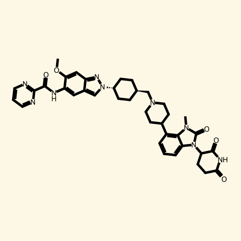 COc1cc2nn([C@H]3CC[C@H](CN4CCC(c5cccc6c5n(C)c(=O)n6C5CCC(=O)NC5=O)CC4)CC3)cc2cc1NC(=O)c1ncccn1